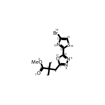 COC(=O)C(C)(C)Cc1nnc(-c2nc(Br)cs2)o1